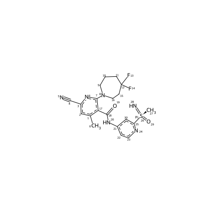 Cc1cc(C#N)nc(N2CCCC(F)(F)CC2)c1C(=O)Nc1ccnc([S@](C)(=N)=O)c1